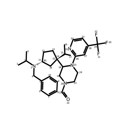 CC(C)N(Cc1ccccc1)[C@@H]1CC[C@](C(C)C)(C2CN(C=O)CCN2c2cc(C(F)(F)F)ccn2)C1